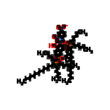 CCCCCCCCCCCCCCP(CCCCCC)(CCCCCC)(CCCCCC)OS(=O)(=O)c1ccc2c(O)c(N=Nc3ccc([N+](=O)[O-])cc3[N+](=O)[O-])c(S(=O)(=O)OP(CCCCCC)(CCCCCC)(CCCCCC)CCCCCCCCCCCCCC)cc2c1